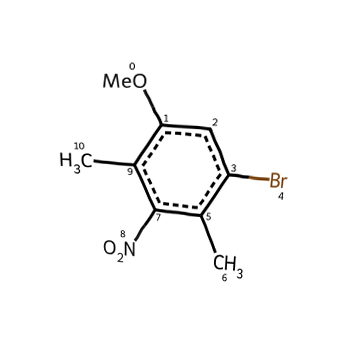 COc1cc(Br)c(C)c([N+](=O)[O-])c1C